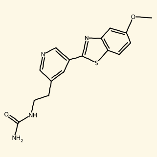 COc1ccc2sc(-c3cncc(CCNC(N)=O)c3)nc2c1